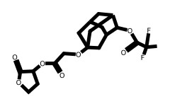 CC(F)(F)C(=O)OC1C2CC3CC1CC(OCC(=O)OC1CCOC1=O)(C3)C2